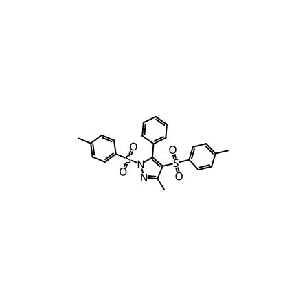 Cc1ccc(S(=O)(=O)c2c(C)nn(S(=O)(=O)c3ccc(C)cc3)c2-c2ccccc2)cc1